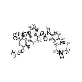 COc1cc(OC)c(Cl)c(-c2ccc(OC(=O)Nc3ccc(CN4CCNCC4)cn3)c3nccnc23)c1F